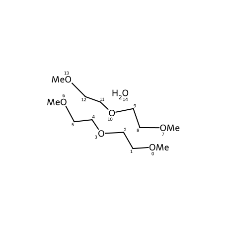 COCCOCCOC.COCCOCCOC.O